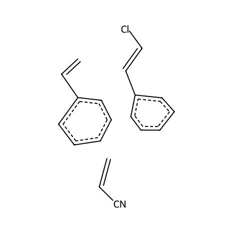 C=CC#N.C=Cc1ccccc1.ClC=Cc1ccccc1